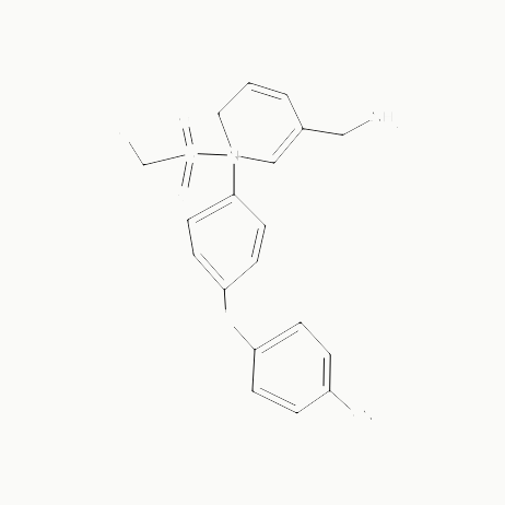 N#Cc1ccc(Oc2ccc([N+]3(S(=O)(=O)CC(F)(F)F)C=C(CN)C=CC3)cc2)cc1